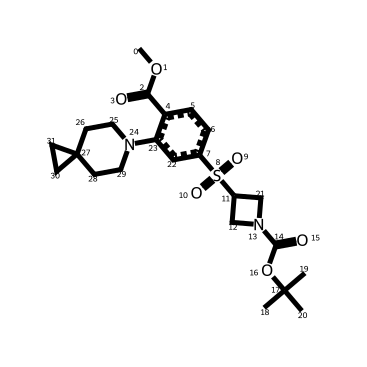 COC(=O)c1ccc(S(=O)(=O)C2CN(C(=O)OC(C)(C)C)C2)cc1N1CCC2(CC1)CC2